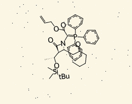 C=CCOC(=O)C(N1C(=O)[C@H]([C@@H](C)O[Si](C)(C)C(C)(C)C)[C@H]1[C@H]1CCCCC1=O)=P(c1ccccc1)(c1ccccc1)c1ccccc1